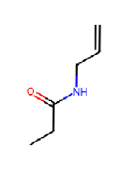 C=CCNC(=O)CC